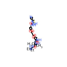 CCN(CC)CCNC(=O)c1c(C)[nH]c(/C=C2\C(=O)Nc3ccc(OC(=O)CCCC(=O)Oc4ccc(CNC(=O)Nc5nc(-c6ccncc6)cs5)cc4)cc32)c1C